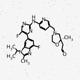 Cc1nc2c(F)cc(-c3nc(Nc4ccc(CN5CCO[C@](C)(CC=O)C5)cn4)ncc3F)cc2n1C(C)C